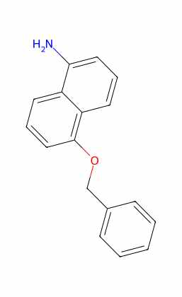 Nc1cccc2c(OCc3ccccc3)cccc12